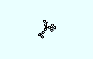 CC1(C)c2ccccc2-c2ccc(N(c3ccc(-c4ccc(-n5c6ccccc6c6ccccc65)cc4)cc3)c3ccc4c(c3)-c3ccccc3C4(c3ccccc3)c3ccccc3)cc21